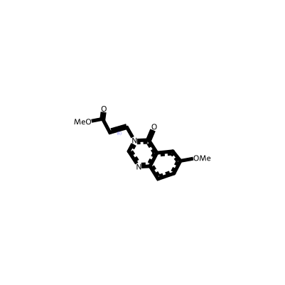 COC(=O)/C=C/n1cnc2ccc(OC)cc2c1=O